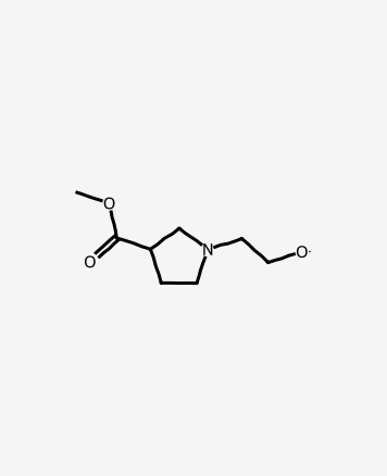 COC(=O)C1CCN(CC[O])C1